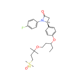 CCC(CCOC(C)(C)CC[SH](C)(C)=O)Oc1ccc([C@@H]2CC(=O)N2c2ccc(F)cc2)cc1